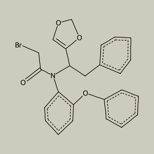 O=C(CBr)N(c1ccccc1Oc1ccccc1)C(Cc1ccccc1)C1=COCO1